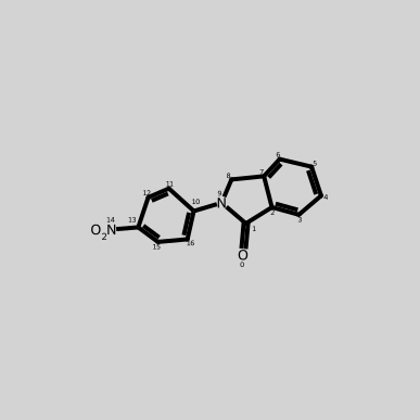 O=C1c2ccccc2CN1c1ccc([N+](=O)[O-])cc1